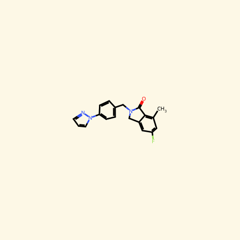 Cc1cc(F)cc2c1C(=O)N(Cc1ccc(-n3cccn3)cc1)C2